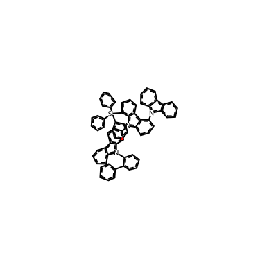 c1ccc(-c2ccccc2-n2c3ccccc3c3ccc(-n4c5cccc(-n6c7ccccc7c7ccccc76)c5c5cccc([Si](c6ccccc6)(c6ccccc6)c6ccccc6)c54)cc32)cc1